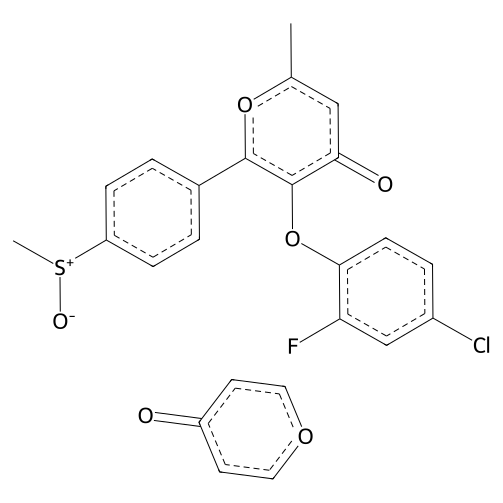 Cc1cc(=O)c(Oc2ccc(Cl)cc2F)c(-c2ccc([S+](C)[O-])cc2)o1.O=c1ccocc1